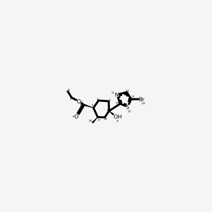 CCOC(=O)[C@H]1CC[C@](O)(c2ncc(Br)s2)C[C@H]1C